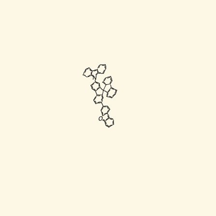 c1ccc2c(c1)-c1ccccc1C21c2cc(-c3ccc4c(c3)oc3ccccc34)ccc2-c2ccc(-n3c4ccccc4c4ccccc43)cc21